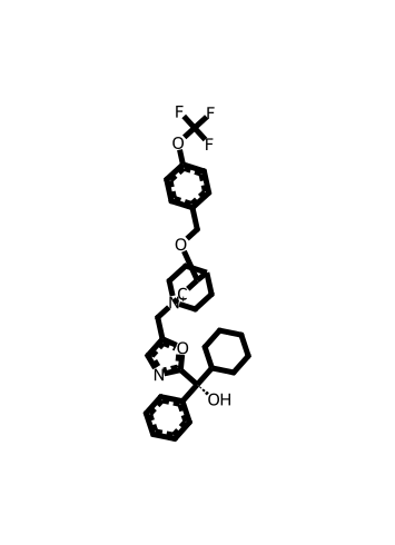 O[C@](c1ccccc1)(c1ncc(C[N+]23CCC(CC2)C(OCc2ccc(OC(F)(F)F)cc2)C3)o1)C1CCCCC1